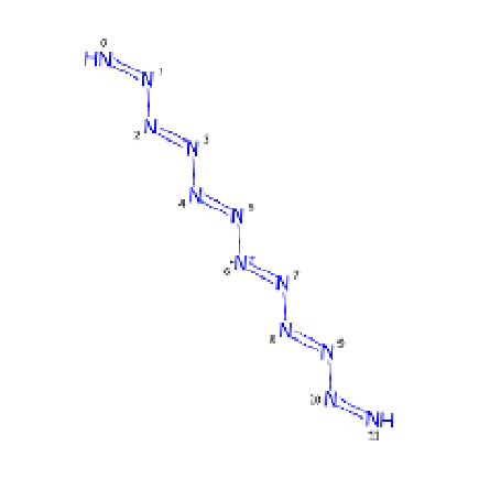 N=NN=NN=N[N+]=NN=NN=N